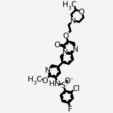 COc1ncc(-c2ccc3ncc(OCCN4CCOC(C)C4)c(=O)n3c2)cc1N[S+]([O-])c1ccc(F)cc1Cl